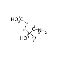 NOP(=O)(O)CCC(=O)O